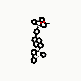 Cc1ccc(N(c2ccc(-c3ccc4ccc5c(N(c6ccccc6)c6cccc7c6oc6ccccc67)ccc6ccc3c4c65)cc2)c2ccccc2-c2ccccc2)cc1